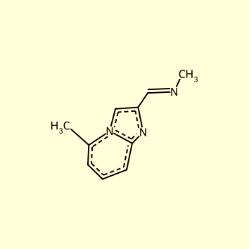 C/N=C/c1cn2c(C)cccc2n1